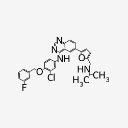 CC(C)NCc1ccc(-c2ccc3ncnc(Nc4ccc(OCc5cccc(F)c5)c(Cl)c4)c3c2)o1